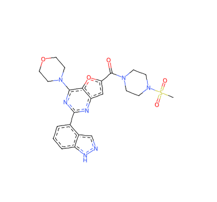 CS(=O)(=O)N1CCN(C(=O)c2cc3nc(-c4cccc5[nH]ncc45)nc(N4CCOCC4)c3o2)CC1